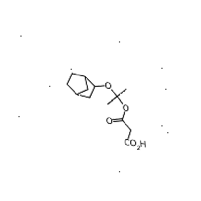 CC(C)(OC(=O)CC(=O)O)OC1CC2CCC1C2